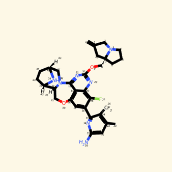 C=C1CN2CCC[C@@]2(COc2nc3c4c(cc(-c5nc(N)cc(C)c5C(F)(F)F)c(F)c4n2)OC[C@@H]2[C@@H]4CC[C@H](CN32)N4)C1